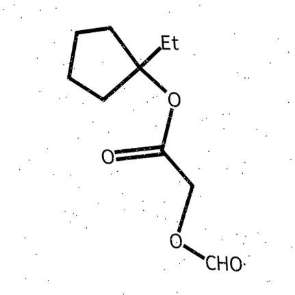 CCC1(OC(=O)CO[C]=O)CCCC1